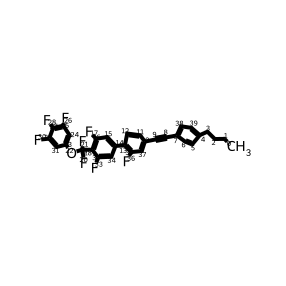 CCCCc1ccc(C#Cc2ccc(-c3cc(F)c(C(F)(F)Oc4cc(F)c(F)c(F)c4)c(F)c3)c(F)c2)cc1